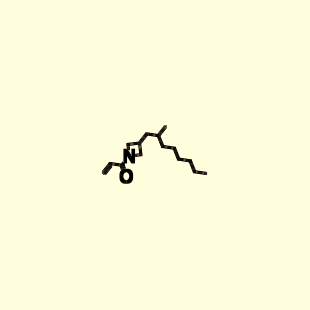 C=CC(=O)N1CC(CC(C)CCCCCC)C1